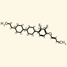 CC/C=C/Oc1ccc(C2CCC(C3CCC(CCC)CC3)CC2)c(F)c1F